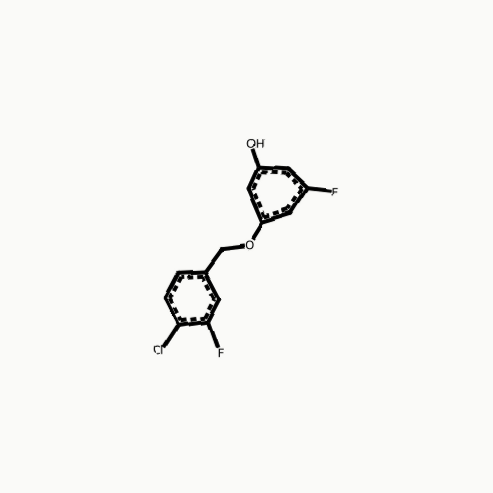 Oc1cc(F)cc(OCc2ccc(Cl)c(F)c2)c1